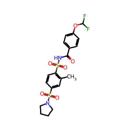 Cc1cc(S(=O)(=O)N2CCCC2)ccc1S(=O)(=O)NC(=O)c1ccc(OC(F)F)cc1